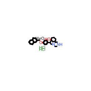 COc1cc(C(CN2CCNCC2)C2(O)CCCCC2)ccc1OCc1ccc2ccccc2c1.Cl.Cl